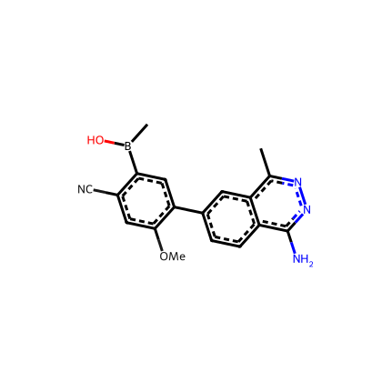 COc1cc(C#N)c(B(C)O)cc1-c1ccc2c(N)nnc(C)c2c1